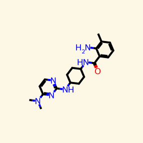 Cc1cccc(C(=O)NC2CCC(Nc3nccc(N(C)C)n3)CC2)c1N